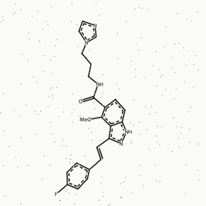 COc1c(C(=O)NCCCn2ccnc2)ccc2[nH]nc(/C=C/c3ccc(F)cc3)c12